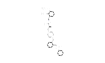 COc1cccc(/C=N/NC(=O)CN2CCN(Cc3ccccc3CS(=O)(=O)c3ccccc3)CC2)c1O